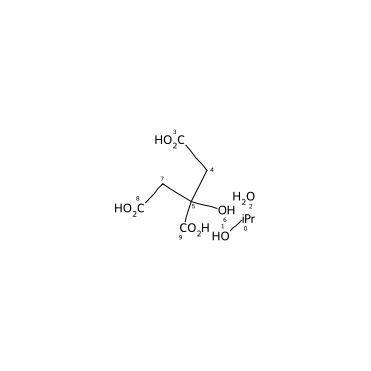 CC(C)O.O.O=C(O)CC(O)(CC(=O)O)C(=O)O